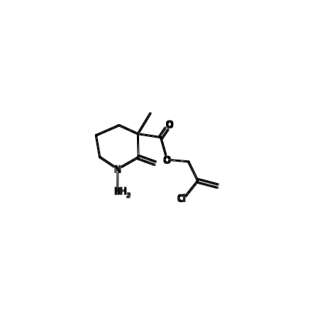 BN1CCCC(C)(C(=O)OCC(=C)Cl)C1=C